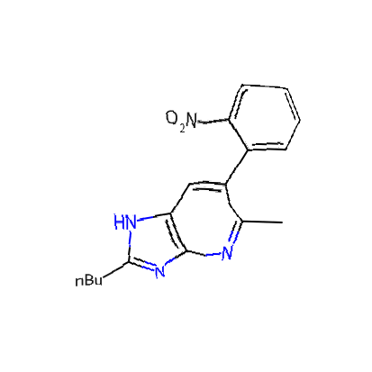 CCCCc1nc2nc(C)c(-c3ccccc3[N+](=O)[O-])cc2[nH]1